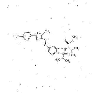 COC(=O)[C@H](C(C)C)N(Cc1cccc(OCc2nc(-c3ccc(C)cc3)oc2C)c1)S(=O)(=O)N(C)C